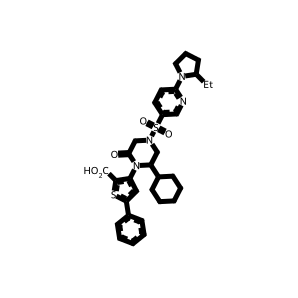 CCC1CCCN1c1ccc(S(=O)(=O)N2CC(=O)N(c3cc(-c4ccccc4)sc3C(=O)O)C(C3CCCCC3)C2)cn1